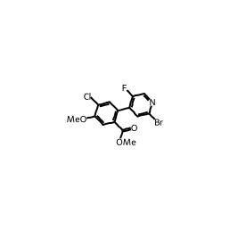 COC(=O)c1cc(OC)c(Cl)cc1-c1cc(Br)ncc1F